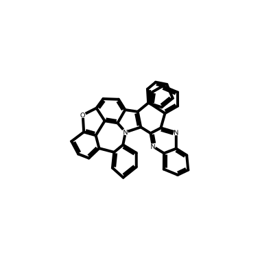 c1ccc(-c2nc3ccccc3nc2-c2c(-c3ccccc3)c3ccc4oc5cccc6c7ccccc7n2c3c4c56)cc1